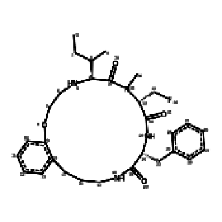 CCC(C)[C@@H]1NCCOc2ccccc2CCCNC(=O)[C@@H](Cc2ccccc2)NC(=O)[C@@H](CF)N(C)C1=O